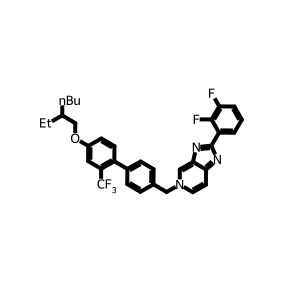 CCCCC(CC)COc1ccc(-c2ccc(Cn3ccc4nc(-c5cccc(F)c5F)nc-4c3)cc2)c(C(F)(F)F)c1